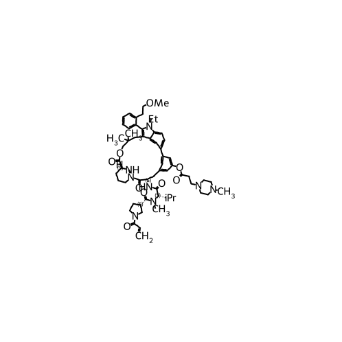 C=CC(=O)N1CC[C@H](C(=O)N(C)[C@H](C(=O)N[C@H]2Cc3cc(OC(=O)CCN4CCN(C)CC4)cc(c3)-c3ccc4c(c3)c(c(-c3ccccc3CCOC)n4CC)CC(C)(C)COC(=O)[C@@H]3CCCN(N3)C2=O)C(C)C)C1